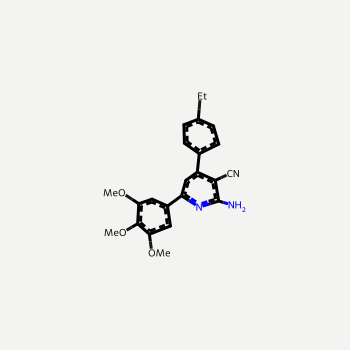 CCc1ccc(-c2cc(-c3cc(OC)c(OC)c(OC)c3)nc(N)c2C#N)cc1